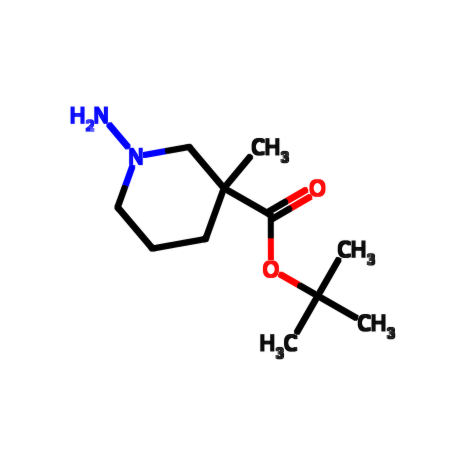 CC(C)(C)OC(=O)C1(C)CCCN(N)C1